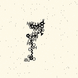 CCC(C)C1=CC(=O)N(CCCCCC(=O)NCC(=O)NCC(=O)N[C@@H](Cc2ccccc2)C(=O)NCC(=O)NCO[C@@H](C(=O)N[C@H]2CCc3c(C)c(F)cc4nc5c(c2c34)Cn2c-5cc3c(c2=O)COC(=O)[C@]3(O)CC)C2CC2)C1=O